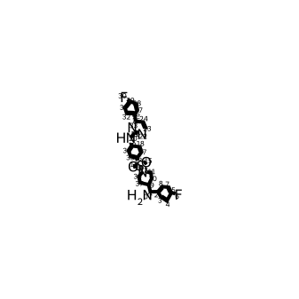 N[C@@H](c1ccc(F)cc1)C1CCN(S(=O)(=O)c2ccc(Nc3nccc(-c4ccc(F)cc4)n3)cc2)CC1